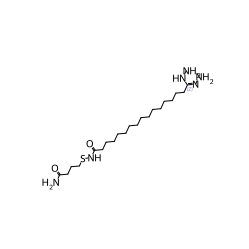 N/N=C(/CCCCCCCCCCCCCCCC(=O)NSCCCC(N)=O)NN